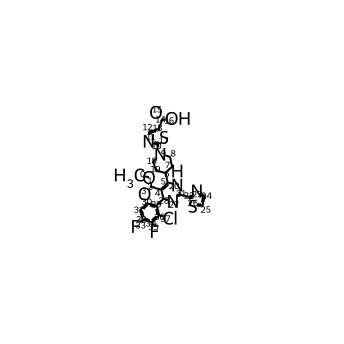 COC(=O)C1=C(C2CCN(c3ncc(C(=O)O)s3)CC2)NC(c2nccs2)=NC1c1ccc(F)c(F)c1Cl